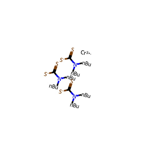 CCCCN(CCCC)C(=S)[S-].CCCCN(CCCC)C(=S)[S-].CCCCN(CCCC)C(=S)[S-].[Cr+3]